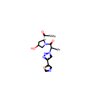 CNC(=O)[C@H]1CC(O)CN1C(=O)C(C(C)C)n1cc(-c2cncs2)nn1